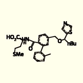 CCCCC(OCc1ccc(C(=O)N[C@@H](CCSC)C(=O)O)c(-c2ccccc2C)c1)c1cncs1